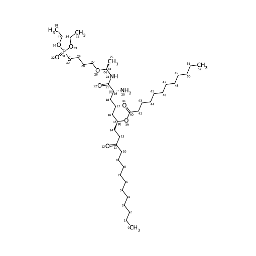 CCCCCCCCCCCC(=O)CC[C@@H](CCC[C@@H](N)C(=O)N[C@H](C)OCCCSP(=O)(OCC)OCC)OC(=O)CCCCCCCCCCC